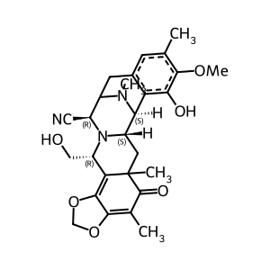 COc1c(C)cc2c(c1O)[C@H]1[C@@H]3CC4(C)C(=O)C(C)=C5OCOC5=C4[C@H](CO)N3[C@@H](C#N)C(C2)N1C